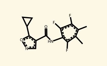 Cc1c(C)c(F)c(NC(=O)c2cnoc2C2CC2)c(F)c1F